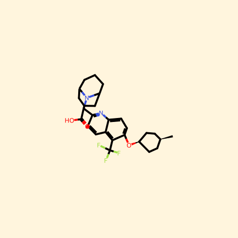 C[C@H]1CC[C@@H](Oc2ccc3nc(CN4C5CCCC4CC(C(=O)O)C5)ccc3c2C(F)(F)F)CC1